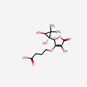 CC1(C)C(O)[C@]1(O)[C@H]1OC(=O)C(O)=C1OCCCC(=O)O